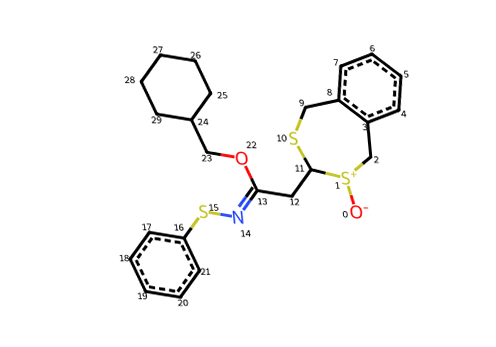 [O-][S+]1Cc2ccccc2CSC1C/C(=N/Sc1ccccc1)OCC1CCCCC1